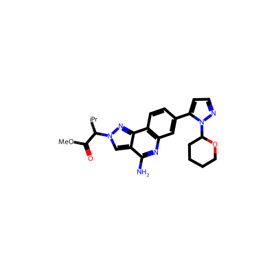 COC(=O)C(C(C)C)n1cc2c(N)nc3cc(-c4ccnn4C4CCCCO4)ccc3c2n1